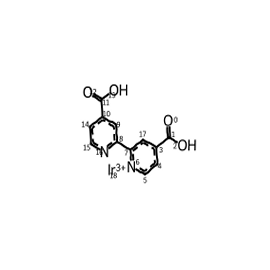 O=C(O)c1ccnc(-c2cc(C(=O)O)ccn2)c1.[Ir+3]